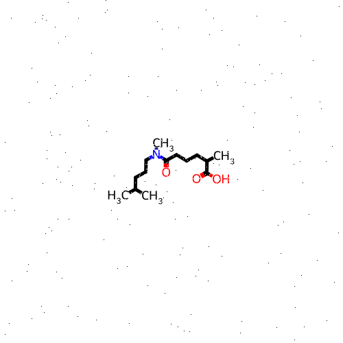 CC(C)CCCN(C)C(=O)CCCC(C)C(=O)O